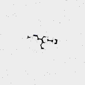 COC(=O)CC1=C(C(=N)/C=C\NC(F)F)CN=C(c2nccs2)N1